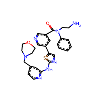 NCCN(C(=O)c1cncc(-c2cnc(Nc3cc(CN4CCOCC4)ccn3)s2)c1)c1ccccc1